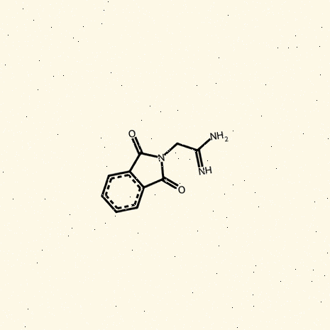 N=C(N)CN1C(=O)c2ccccc2C1=O